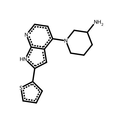 NC1CCCN(c2ccnc3[nH]c(-c4cccs4)cc23)C1